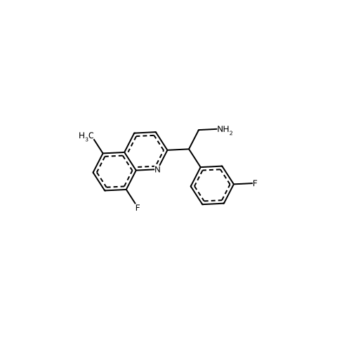 Cc1ccc(F)c2nc(C(CN)c3cccc(F)c3)ccc12